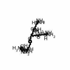 N=C(N)NCCCC[C@@H](N)C(=O)NCCCN(CCCNC(=O)[C@H](N)CCCCNC(=N)N)CCOc1ccc(CCCCNC(=N)NC(=O)c2nc(Cl)c(N)nc2N)cc1